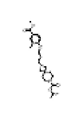 COC(=O)c1ccc(OCCCC2CC3(CCN(C(=O)OC(C)C)CC3)C2)c(C)c1